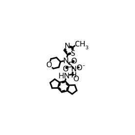 Cc1ncc(N(C2CCOCC2)S(=O)(=O)[NH+]([O-])C(=O)Nc2c3c(cc4c2CCC4)CCC3)s1